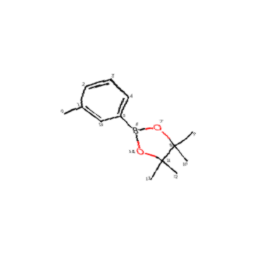 Cc1cccc(B2OC(C)(C)C(C)(C)O2)c1